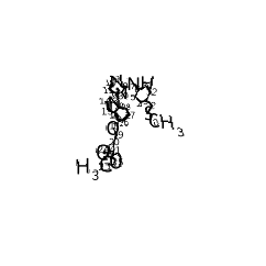 CSCC1CCC(Nc2nccc(-n3ccc4c(OCCCS(C)(=O)=O)cccc43)n2)CC1